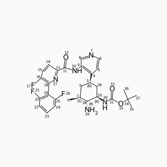 C[C@H]1C[C@@H](c2ccncc2NC(=O)c2ccc(F)c(-c3c(F)cccc3F)n2)C[C@@H](NC(=O)OC(C)(C)C)[C@@H]1N